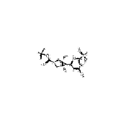 CC(C)(C)OC(=O)N1C[C@@H]2C(c3cc(Cl)nc(S(C)(=O)=O)n3)[C@@H]2C1